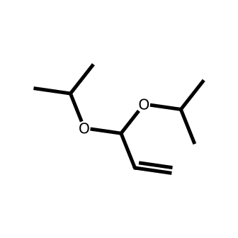 C=CC(OC(C)C)OC(C)C